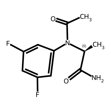 CC(=O)N(c1cc(F)cc(F)c1)[C@@H](C)C(N)=O